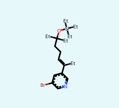 CCC(=CCCC(CC)(CC)O[Si](CC)(CC)CC)c1cncc(Br)c1